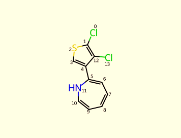 Clc1scc(C2=CC=CC=CN2)c1Cl